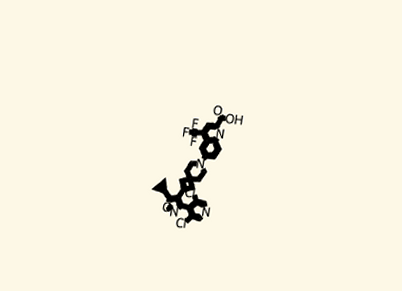 O=C(O)c1cc(C(F)(F)F)c2cc(N3CCC4(C=C(c5c(-c6c(Cl)cncc6Cl)noc5C5CC5)C4)CC3)ccc2n1